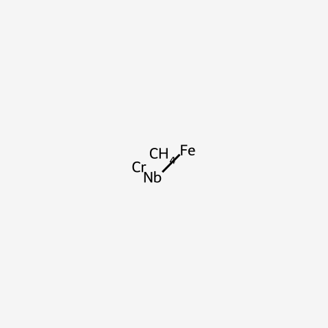 C.[Cr].[Fe][Nb]